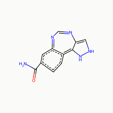 NC(=O)c1ccc2c(c1)=NC=NC1=CNNC=21